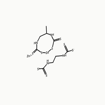 CC1CNC(=S)[S][Zn][S]C(=S)N1.S=C([S-])NCCNC(=S)[S-].[Zn+2]